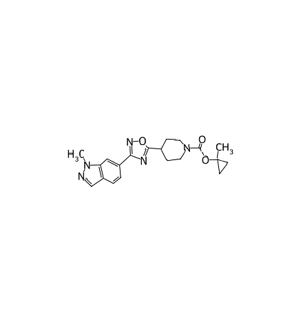 Cn1ncc2ccc(-c3noc(C4CCN(C(=O)OC5(C)CC5)CC4)n3)cc21